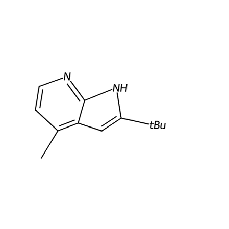 Cc1ccnc2[nH]c(C(C)(C)C)cc12